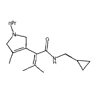 CCCN1CC(C)=C(C(C(=O)NCC2CC2)=C(C)C)C1